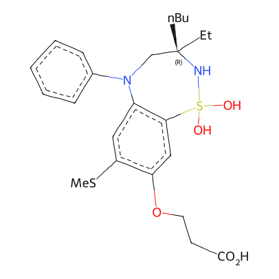 CCCC[C@]1(CC)CN(c2ccccc2)c2cc(SC)c(OCCC(=O)O)cc2S(O)(O)N1